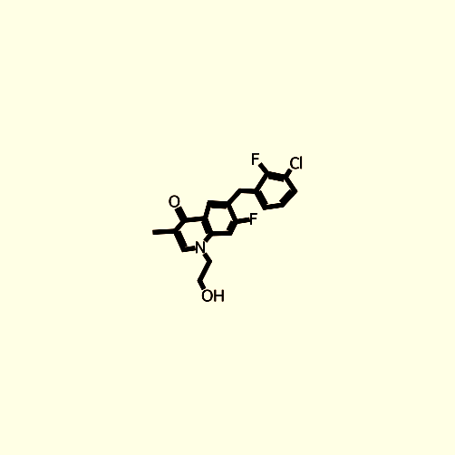 Cc1cn(CCO)c2cc(F)c(Cc3cccc(Cl)c3F)cc2c1=O